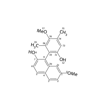 COc1ccc2ccc(O)c(-c3c(O)cc(C)c(OC)c3C)c2c1